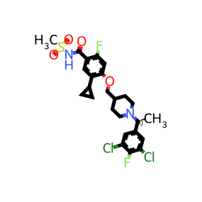 C[C@H](c1cc(Cl)c(F)c(Cl)c1)N1CCC(COc2cc(F)c(C(=O)NS(C)(=O)=O)cc2C2CC2)CC1